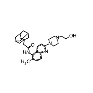 Cc1ccc2nc(N3CCN(CCO)CC3)ccc2c1NC(=O)CC12CC3CC(CC(C3)C1)C2